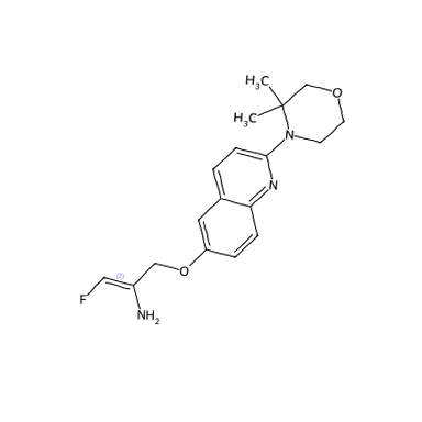 CC1(C)COCCN1c1ccc2cc(OC/C(N)=C/F)ccc2n1